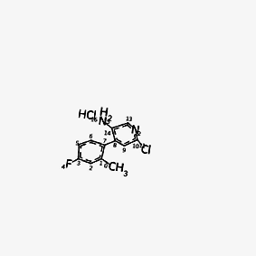 Cc1cc(F)ccc1-c1cc(Cl)ncc1N.Cl